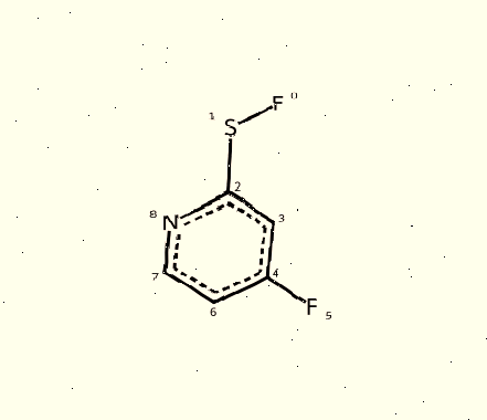 FSc1cc(F)ccn1